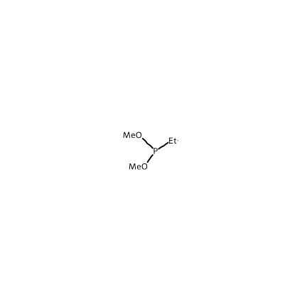 C[CH]P(OC)OC